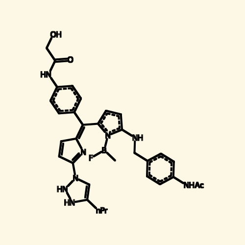 CCCC1=CN(C2=N/C(=C(/c3ccc(NC(=O)CO)cc3)c3ccc(NCc4ccc(NC(C)=O)cc4)n3B(C)F)C=C2)NN1